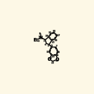 CCN(C)C1CC(c2ccc3c(c2)OCO3)c2ccccc21